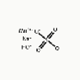 O=S(=O)([O-])[O-].[Mn+2].[Na+].[OH-]